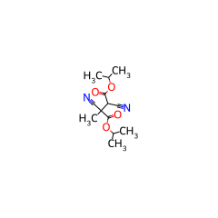 CC(C)OC(=O)C(C#N)C(C)(C#N)C(=O)OC(C)C